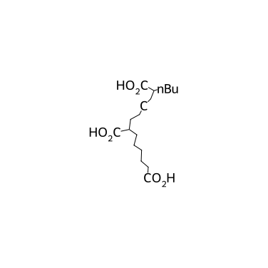 CCCCC(CCCCC(CCCCCC(=O)O)C(=O)O)C(=O)O